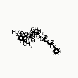 COc1cccc(OC)c1C(=O)N[C@@H]1C(=O)N2[C@@H]1SC(C)(C)[C@@H]2C(=O)OCOC(=O)CCCC(=O)OCc1ccccc1